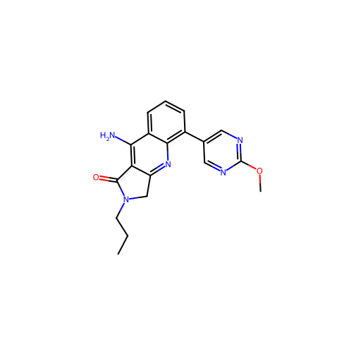 CCCN1Cc2nc3c(-c4cnc(OC)nc4)cccc3c(N)c2C1=O